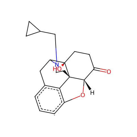 O=C1CC[C@@]2(O)C3Cc4cc[c]c5c4[C@@]2(CCN3CC2CC2)[C@H]1O5